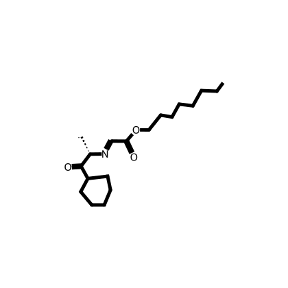 [CH2][C@H](N=CC(=O)OCCCCCCCC)C(=O)C1CCCCC1